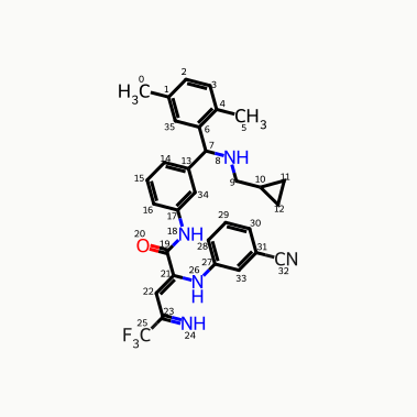 Cc1ccc(C)c(C(NCC2CC2)c2cccc(NC(=O)/C(=C/C(=N)C(F)(F)F)Nc3cccc(C#N)c3)c2)c1